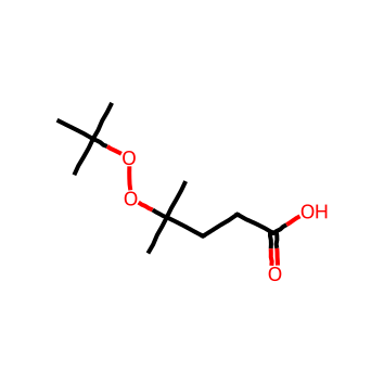 CC(C)(C)OOC(C)(C)CCC(=O)O